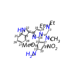 CCN(CC)CCN(C)c1c([N+](=O)[O-])cc(N)c(OC)c1-c1nccc(-c2c[nH]c3ccccc23)n1